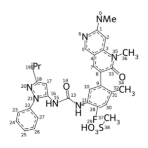 CNc1cc2c(cn1)cc(-c1cc(NC(=O)Nc3cc(C(C)C)nn3-c3ccccc3)c(F)cc1C)c(=O)n2C.CS(=O)(=O)O